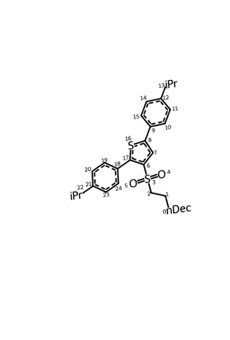 CCCCCCCCCCCCS(=O)(=O)c1cc(-c2ccc(C(C)C)cc2)sc1-c1ccc(C(C)C)cc1